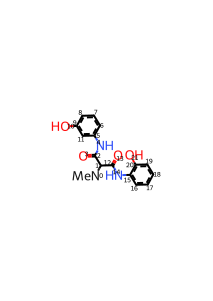 CNC(C(=O)Nc1cccc(O)c1)C(=O)Nc1ccccc1O